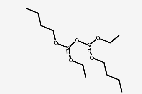 CCCCO[SiH](OCC)O[SiH](OCC)OCCCC